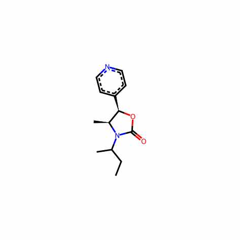 CCC(C)N1C(=O)O[C@H](c2ccncc2)[C@@H]1C